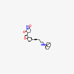 O=C1CCC(c2coc3ccc(C#CCCCNC45CC6CC(CC(C6)C4)C5)cc23)C(=O)N1